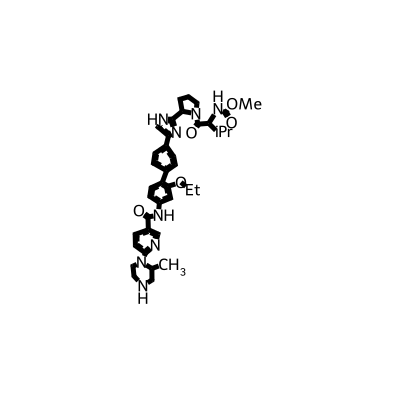 CCOc1cc(NC(=O)c2ccc(N3CCNCC3C)nc2)ccc1-c1ccc(-c2c[nH]c(C3CCCN3C(=O)C(NC(=O)OC)C(C)C)n2)cc1